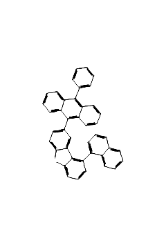 c1ccc(-c2c3ccccc3c(-c3ccc4sc5cccc(-c6cccc7ccccc67)c5c4c3)c3ccccc23)cc1